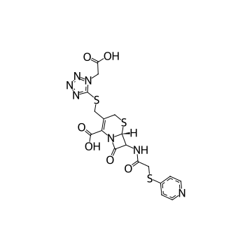 O=C(O)Cn1nnnc1SCC1=C(C(=O)O)N2C(=O)C(NC(=O)CSc3ccncc3)[C@H]2SC1